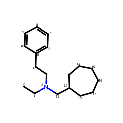 CCN(CCc1ccccc1)CC1CCCCCC1